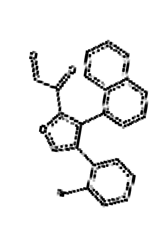 O=CC(=O)c1occ(-c2ccccc2Br)c1-c1cccc2ccccc12